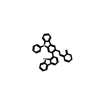 C=C1CCC=C/C1=C/Cc1cc2c3ccccc3n(-c3ccccc3)c2cc1-c1cccc2c1[nH]c1ccccc12